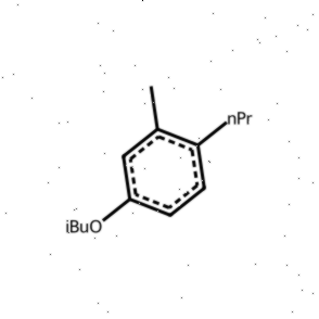 CCCc1ccc(OCC(C)C)cc1C